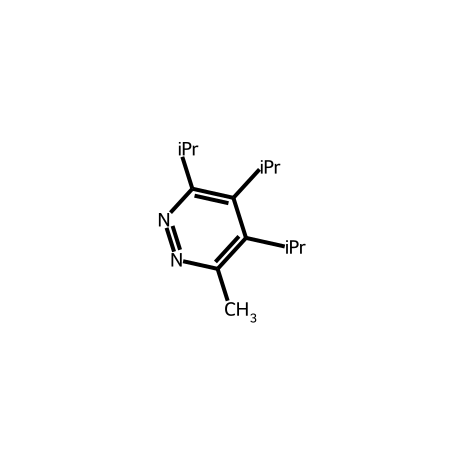 Cc1nnc(C(C)C)c(C(C)C)c1C(C)C